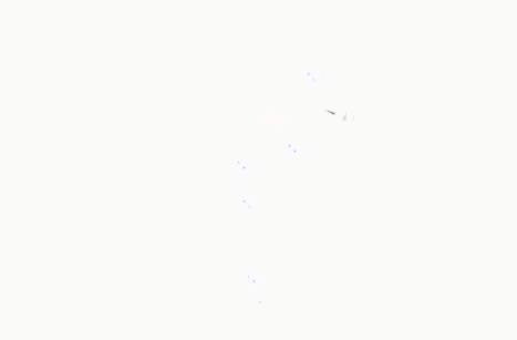 CCC[C@H](N[C@H]1CCc2cc(F)cc(F)c2C1)C(=O)Nc1cn(C(C)(C)CNC(C)(C)C)cn1